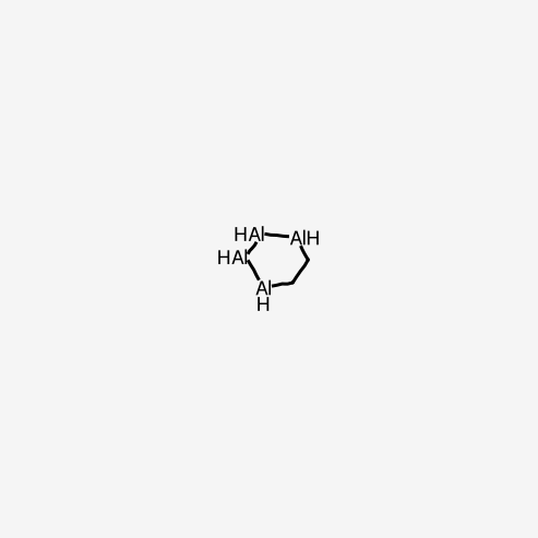 [CH2]1[CH2][AlH][AlH][AlH][AlH]1